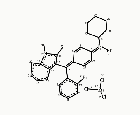 CC[N+](=C1C=CC(=C(c2ccccc2Br)c2c(C)n(C)c3ccccc23)C=C1)C1CCCCC1.[Cl][Zn-]([Cl])[Cl]